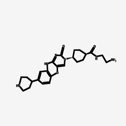 NCCNC(=O)[C@H]1CC[C@H](n2cc3c(nc2=O)Nc2cc(C4CCNCC4)ccc2O3)CC1